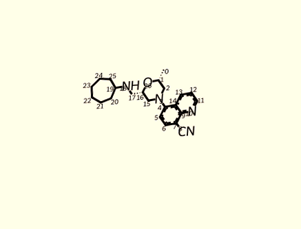 C[C@@H]1CN(c2ccc(C#N)c3ncccc23)C[C@H](CNC2CCCCCC2)O1